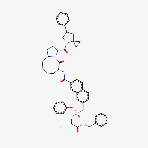 C[C@H](NP(=O)(Cc1ccc2ccc(C(=O)N[C@H]3CCCC[C@H]4CC[C@@H](C(=O)N5CC(c6ccccc6)CC56CC6)N4C3=O)cc2c1)Oc1ccccc1)C(=O)OCc1ccccc1